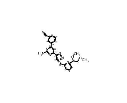 COCC(OC)c1cccc(Cn2cc(-c3cc(-c4cccc(C#N)c4)nc(N)n3)nn2)n1